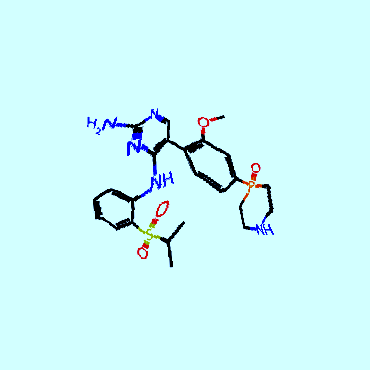 COc1cc(P2(=O)CCNCC2)ccc1-c1cnc(N)nc1Nc1ccccc1S(=O)(=O)C(C)C